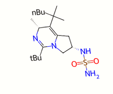 CCCCC(C)(C)C1=C2C[C@H](NS(N)(=O)=O)CN2C(C(C)(C)C)=N[C@@H]1C